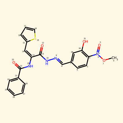 CO[N+](=O)c1ccc(/C=N/NC(=O)/C(=C\c2cccs2)NC(=O)c2ccccc2)cc1O